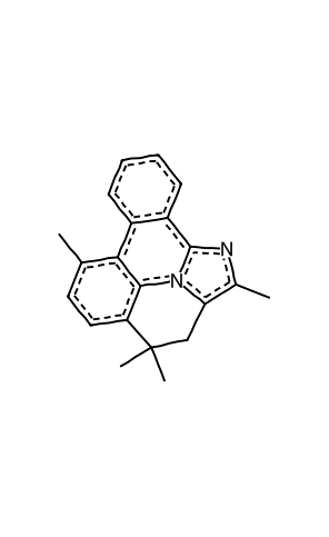 Cc1nc2c3ccccc3c3c(C)ccc4c3n2c1CC4(C)C